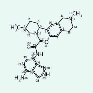 C[C@H]1CCC(c2ccc3c(c2)CN(C)CC3)N(C(=O)C(=O)Nc2cnc(N)c3c[nH]nc23)C1